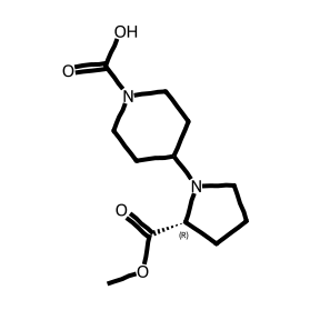 COC(=O)[C@H]1CCCN1C1CCN(C(=O)O)CC1